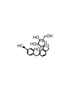 C#Cc1ccc(Cc2ccc3c(c2)[C@]2(OC3)O[C@H](CO)[C@@H](O)[C@H](O)[C@H]2O)cc1